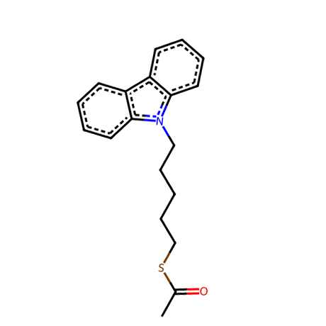 CC(=O)SCCCCCn1c2ccccc2c2ccccc21